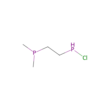 CP(C)CCPCl